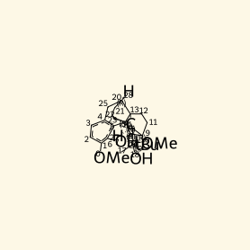 COc1ccc2c3c1O[C@H]1[C@@]4(OC)CCC5(C[C@@H]4C(C)(O)C(C)(C)C)[C@H](CCC[C@]315)C2